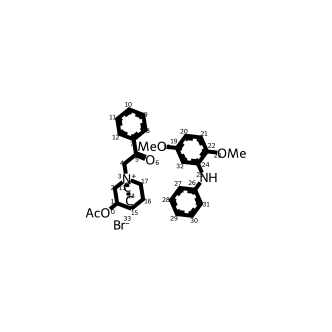 CC(=O)OC1C[N+]2(CC(=O)c3ccccc3)CCC1CC2.COc1ccc(OC)c(Nc2ccccc2)c1.[Br-]